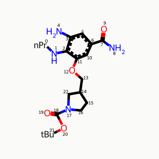 CCCNc1c(N)cc(C(N)=O)cc1OCC1CCN(C(=O)OC(C)(C)C)C1